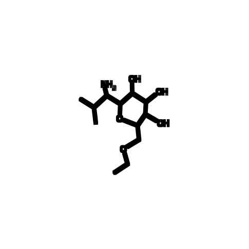 CCOCC1OC(C(N)C(C)C)C(O)C(O)C1O